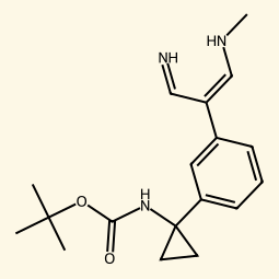 CN/C=C(\C=N)c1cccc(C2(NC(=O)OC(C)(C)C)CC2)c1